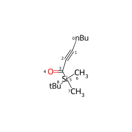 CCCCC#CC(=O)[Si](C)(C)C(C)(C)C